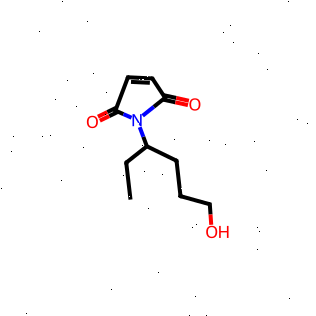 CCC(CCCO)N1C(=O)C=CC1=O